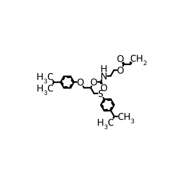 C=CC(=O)OCCNC(=O)OC(COc1ccc(C(C)C)cc1)CSc1ccc(C(C)C)cc1